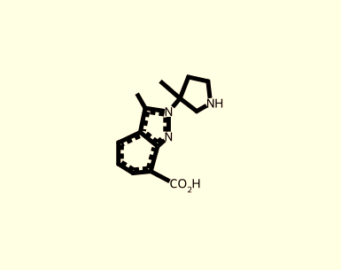 Cc1c2cccc(C(=O)O)c2nn1C1(C)CCNC1